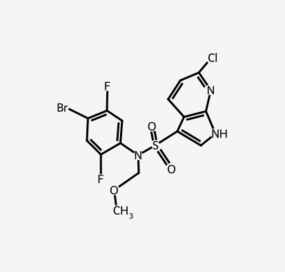 COCN(c1cc(F)c(Br)cc1F)S(=O)(=O)c1c[nH]c2nc(Cl)ccc12